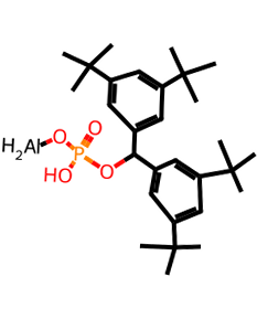 CC(C)(C)c1cc(C(OP(=O)(O)[O][AlH2])c2cc(C(C)(C)C)cc(C(C)(C)C)c2)cc(C(C)(C)C)c1